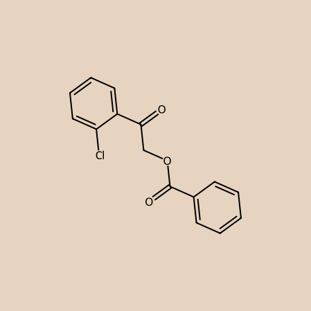 O=C(OCC(=O)c1ccccc1Cl)c1ccccc1